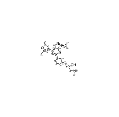 C=C1CN(c2nc(-c3cccc(OCC(O)CNC)c3)nc3c2cnn3C2CC2)CC(C)O1